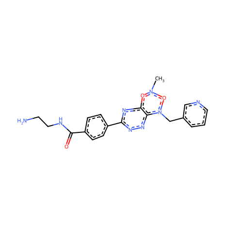 Cn1oc2nc(-c3ccc(C(=O)NCCN)cc3)nnc2n(Cc2cccnc2)o1